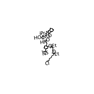 CCC(C)(CCCCCCCl)OCCC(C)(CC)Oc1cc(-c2scnc2C)ccc1CNC(=O)[C@@H]1C[C@@H](O)CN1C(=O)C(C(C)C)N1Cc2ccccc2C1=O